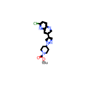 CC(C)(C)OC(=O)N1CCC(n2cc(-c3cnc4ccc(Cl)nc4c3)cn2)CC1